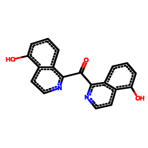 O=C(c1nccc2c(O)cccc12)c1nccc2c(O)cccc12